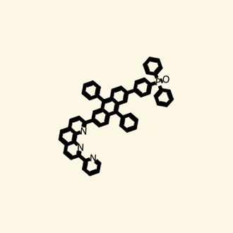 O=P(c1ccccc1)(c1ccccc1)c1ccc(-c2ccc3c(-c4ccccc4)c4cc(-c5ccc6ccc7ccc(-c8ccccn8)nc7c6n5)ccc4c(-c4ccccc4)c3c2)cc1